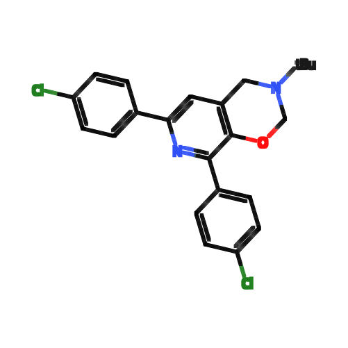 CC(C)(C)N1COc2c(cc(-c3ccc(Cl)cc3)nc2-c2ccc(Cl)cc2)C1